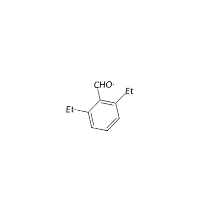 CCc1cccc(CC)c1[C]=O